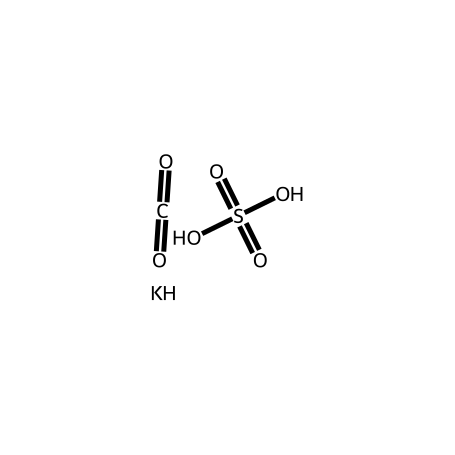 O=C=O.O=S(=O)(O)O.[KH]